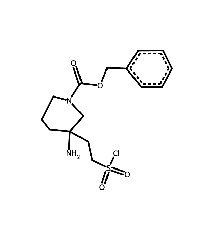 NC1(CCS(=O)(=O)Cl)CCCN(C(=O)OCc2ccccc2)C1